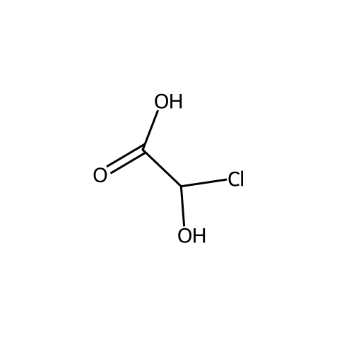 O=C(O)C(O)Cl